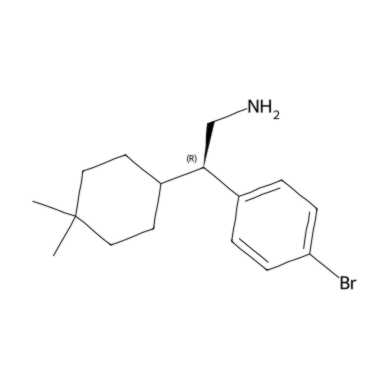 CC1(C)CCC([C@@H](CN)c2ccc(Br)cc2)CC1